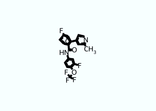 Cc1cc(-c2c(C(=O)Nc3ccc(OC(F)(F)F)c(F)c3)c3cc(F)c2o3)ccn1